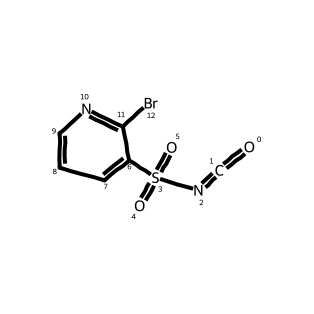 O=C=NS(=O)(=O)c1cccnc1Br